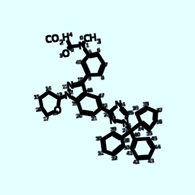 CN(C(=O)C(=O)O)c1cccc(-c2nn(C3CCCCO3)c3ccc(-c4ncn(C(c5ccccc5)(c5ccccc5)c5ccccc5)n4)cc23)c1